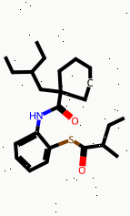 CCC(CC)CC1(C(=O)Nc2ccccc2SC(=O)C(C)CC)CCCCC1